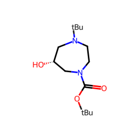 CC(C)(C)OC(=O)N1CCN(C(C)(C)C)C[C@@H](O)C1